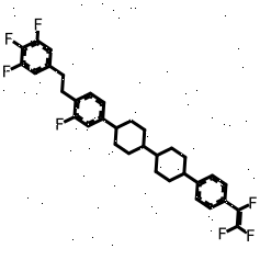 FC(F)=C(F)c1ccc(C2CCC(C3CCC(c4ccc(CCc5cc(F)c(F)c(F)c5)c(F)c4)CC3)CC2)cc1